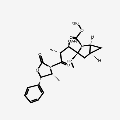 CO[C@H]([C@@H](C)C(=O)N1C(=O)O[C@@H](c2ccccc2)[C@H]1C)[C@@]1(PC)C[C@@H]2C[C@@H]2N1C(=O)OC(C)(C)C